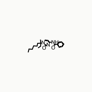 CCCCCCC(C)(CC)n1ccc(NC(=O)c2ccccc2)nc1=O